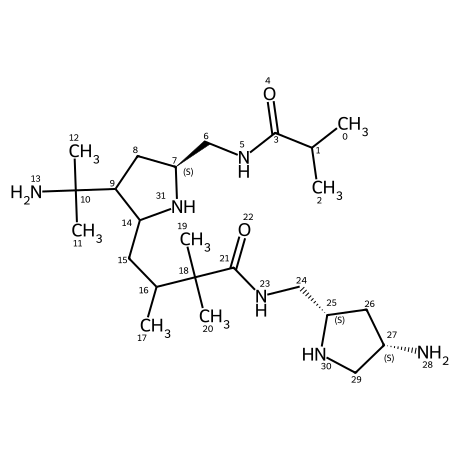 CC(C)C(=O)NC[C@@H]1CC(C(C)(C)N)C(CC(C)C(C)(C)C(=O)NC[C@@H]2C[C@H](N)CN2)N1